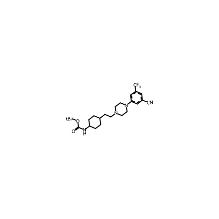 CC(C)(C)OC(=O)NC1CCC(CCN2CCN(c3cc(C#N)cc(C(F)(F)F)c3)CC2)CC1